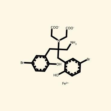 NCC(Cc1cc(Br)ccc1O)(Cc1cc(Br)ccc1O)N(CC(=O)[O-])CC(=O)[O-].[Fe+2]